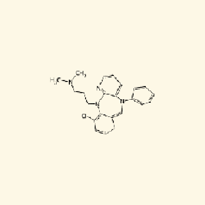 CN(C)CCCN1C2=C(Cl)C=CCC2=CN(c2ccccc2)c2cccnc21